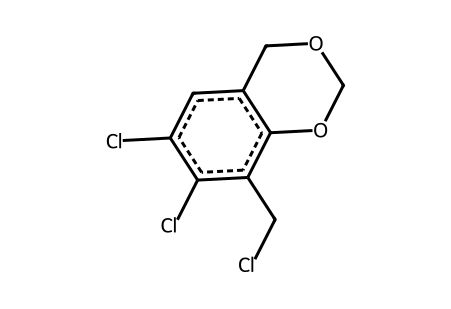 ClCc1c(Cl)c(Cl)cc2c1OCOC2